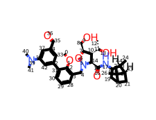 COc1c(CN2O[C@@H](CO)[C@H]([C@H](C)O)[C@H]2C(=O)NC2CC3C[C@@H]([C@@H]2C)C3(C)C)cccc1-c1cc(C=O)cc(N(C)C)c1